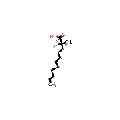 C=CCCCCCCCC(C)(C)C(=O)O